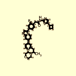 CC(Cc1cc(-c2ccn3c(-c4ccc(CC(=O)Nc5ncc(C6CCC6)s5)c(F)c4)cnc3c2)ccn1)N1CCOCC1